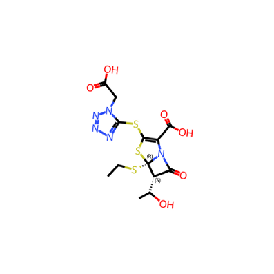 CCS[C@]12SC(Sc3nnnn3CC(=O)O)=C(C(=O)O)N1C(=O)[C@@H]2C(C)O